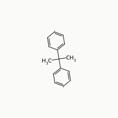 CC(C)(c1cc[c]cc1)c1cc[c]cc1